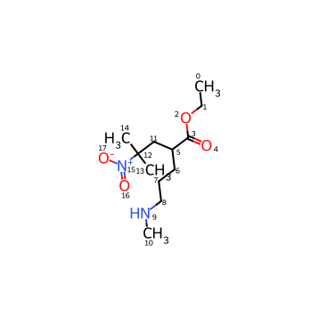 CCOC(=O)C(CCCNC)CC(C)(C)[N+](=O)[O-]